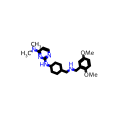 COc1ccc(OC)c(CNCC2CCC(Nc3nccc(N(C)C)n3)CC2)c1